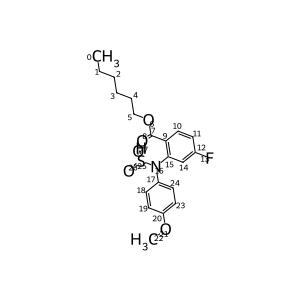 CCCCCCOC(=O)c1ccc(F)cc1N(c1ccc(OC)cc1)[SH](=O)=O